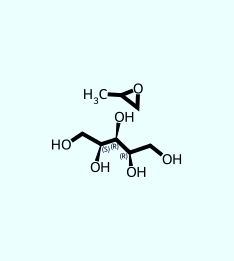 CC1CO1.OC[C@@H](O)[C@H](O)[C@@H](O)CO